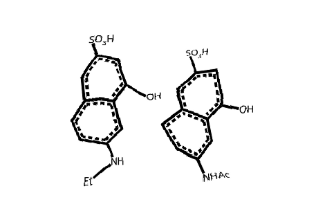 CC(=O)Nc1ccc2cc(S(=O)(=O)O)cc(O)c2c1.CCNc1ccc2cc(S(=O)(=O)O)cc(O)c2c1